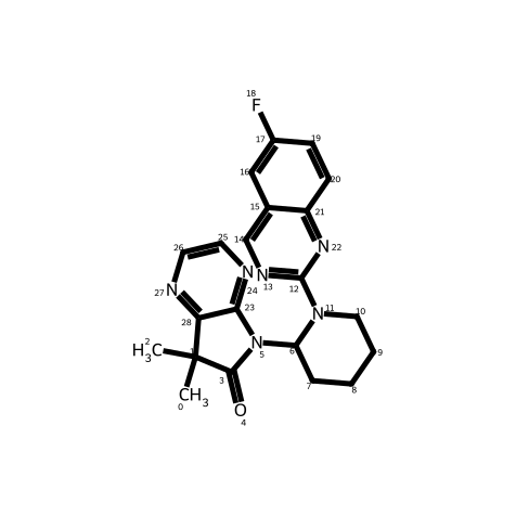 CC1(C)C(=O)N(C2CCCCN2c2ncc3cc(F)ccc3n2)c2nccnc21